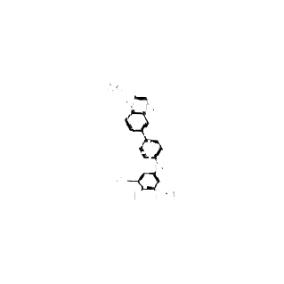 CSc1cnc2cc(-c3ccc(Nc4cc(Cl)c(F)c(C#N)c4)cc3)ccc2n1